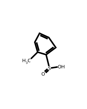 Cc1ccccc1S(=O)O